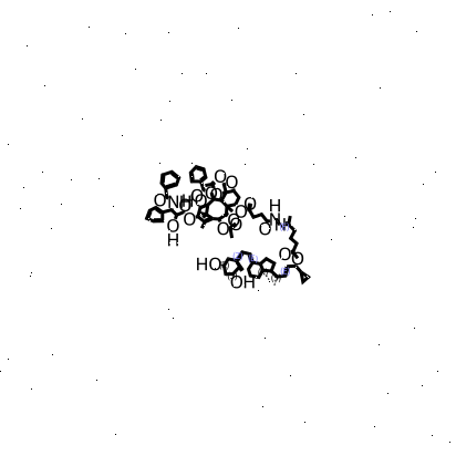 C=C1/C(=C\C=C2/CCC[C@@]3(C)C2CCC3[C@@H](C)/C=C/C(OC(=O)CCC/C(C)=N/NC(=O)CCC(=O)OC2CC3OCC3(OC(C)=O)C3C(OC(=O)c4ccccc4)C4(O)CC(OC(=O)C(O)C(NC(=O)c5ccccc5)c5ccccc5)C(C)=C(C(OC(C)=O)C(=O)C23C)C4(C)C)C2CC2)C[C@@H](O)C[C@@H]1O